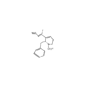 CON=C(C)C1=CCCN(C(=O)O)C1Cc1ccccc1